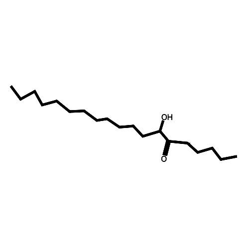 CCCC[CH]C(=O)C(O)CCCCCCCCCCCC